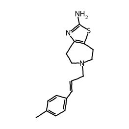 Cc1ccc(C=CCN2CCc3nc(N)sc3CC2)cc1